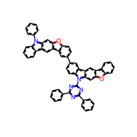 c1ccc(-c2nc(-c3ccccc3)nc(-n3c4ccc(-c5ccc6oc7cc8c(cc7c6c5)c5ccccc5n8-c5ccccc5)cc4c4cc5c(cc43)oc3ccccc35)n2)cc1